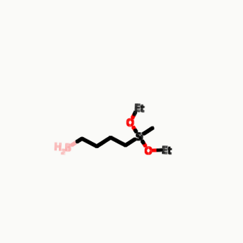 BCCCC[Si](C)(OCC)OCC